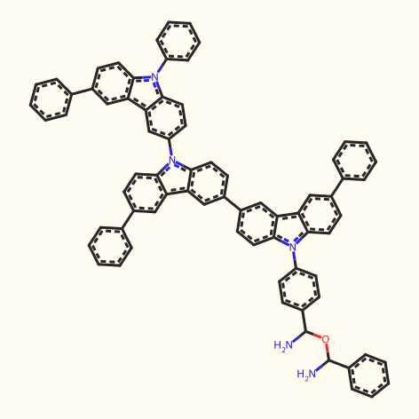 NC(OC(N)c1ccc(-n2c3ccc(-c4ccccc4)cc3c3cc(-c4ccc5c(c4)c4cc(-c6ccccc6)ccc4n5-c4ccc5c(c4)c4cc(-c6ccccc6)ccc4n5-c4ccccc4)ccc32)cc1)c1ccccc1